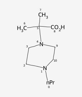 CCCN1CCN(C(C)(C)C(=O)O)CC1